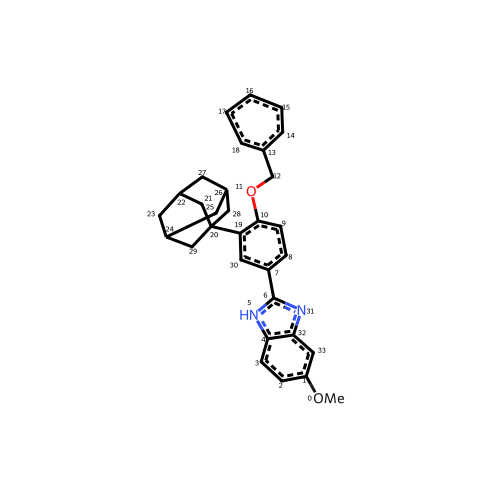 COc1ccc2[nH]c(-c3ccc(OCc4ccccc4)c(C45CC6CC(CC(C6)C4)C5)c3)nc2c1